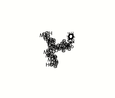 O=P([O][Mo](=[O])(=[O])[O][Mo](=[O])(=[O])[O][Mo](=[O])(=[O])[O][Mo](=[O])(=[O])[OH])([O][Mo](=[O])(=[O])[O][Mo](=[O])(=[O])[O][Mo](=[O])(=[O])[O][Mo](=[O])(=[O])[OH])[O][Mo](=[O])(=[O])[O][Mo](=[O])(=[O])[O][Mo](=[O])(=[O])[O][Mo](=[O])(=[O])[O]c1nc2ccccc2s1